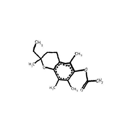 CCC1(C)CCc2c(C)c(OC(C)=O)c(C)c(C)c2O1